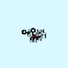 Nc1nc(Cl)c2ncn([C@@H]3O[C@]4(COC(=O)c5ccccc5)CO[C@H]3[C@H]4OCc3ccccc3)c2n1